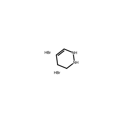 Br.Br.C1=CNNCC1